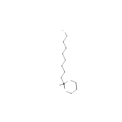 CCOC(=O)C1(CCCCCCCCBr)SCCCS1